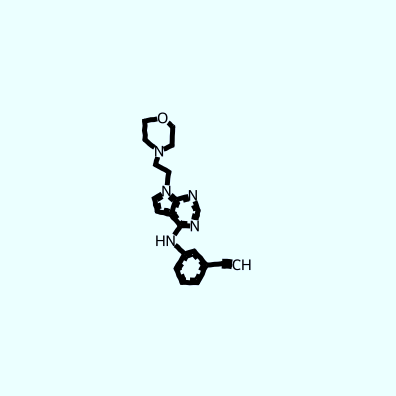 C#Cc1cccc(Nc2ncnc3c2ccn3CCN2CCOCC2)c1